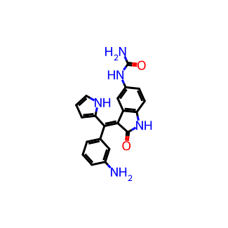 NC(=O)Nc1ccc2c(c1)/C(=C(/c1cccc(N)c1)c1ccc[nH]1)C(=O)N2